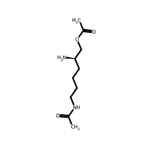 CC(=O)NCCCC[C@@H](N)COC(C)=O